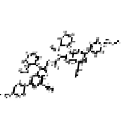 CCOc1ccc(-c2nc(C#N)c3nc(OC(=O)Oc4nc5c(C#N)nc(-c6ccc(OCC)cc6)nc5n4-c4ccccc4OC)n(-c4ccccc4OC)c3n2)cc1